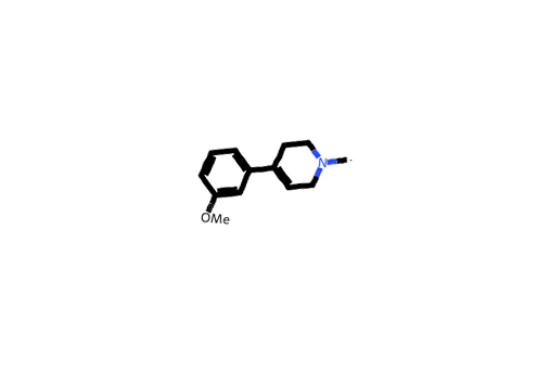 [CH2]N1CC=C(c2cccc(OC)c2)CC1